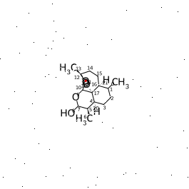 CC1CC[C@H]2[C@@H](C)C(O)OC3O[C@@]4(C)CC[C@@H]1[C@]32OO4